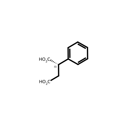 O=C(O)C[C@H](C(=O)O)c1ccccc1